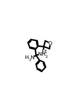 CCC1(c2ccccc2C(N)(N)c2ccccc2)COC1